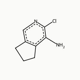 Nc1c(Cl)ncc2c1CCC2